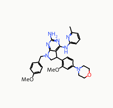 COc1ccc(CN2CC(c3ccc(N4CCOCC4)cc3OC)c3c(Nc4cccc(C)n4)nc(N)nc32)cc1